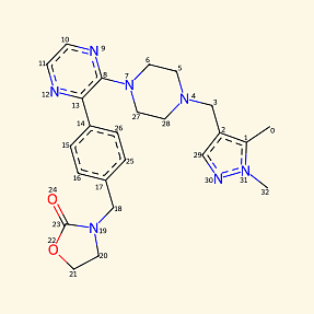 Cc1c(CN2CCN(c3nccnc3-c3ccc(CN4CCOC4=O)cc3)CC2)cnn1C